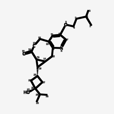 CC(C)CCOc1cnc2c(c1)CCC(=O)C1C(C2)C1[C@H]1C[C@@](O)(C(C)C)C1